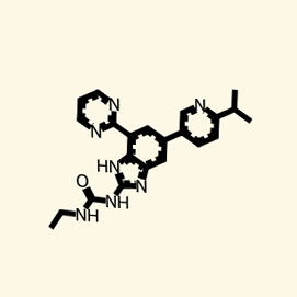 CCNC(=O)Nc1nc2cc(-c3ccc(C(C)C)nc3)cc(-c3ncccn3)c2[nH]1